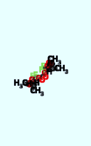 C[C@@H]1CC[C@H]2C(COC(=O)CC(=O)OCC3=C(C(F)(F)F)O[C@@H]4O[C@]5(C)CCC6[C@H](C)CC[C@@H]3[C@]64OO5)=C(C(F)(F)F)O[C@@H]3O[C@]4(C)CCC1[C@]32OO4